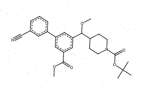 COC(=O)c1cc(-c2cccc(C#N)c2)cc(C(OC)C2CCN(C(=O)OC(C)(C)C)CC2)c1